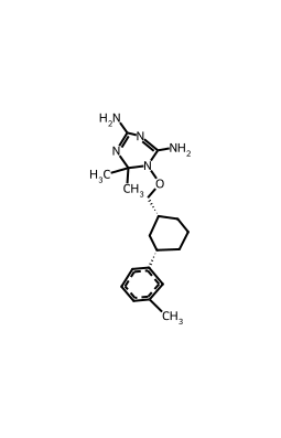 Cc1cccc([C@H]2CCC[C@@H](CON3C(N)=NC(N)=NC3(C)C)C2)c1